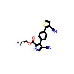 CCOC(=O)c1[nH]cc(C#N)c1-c1ccc(-c2sccc2C#N)cc1